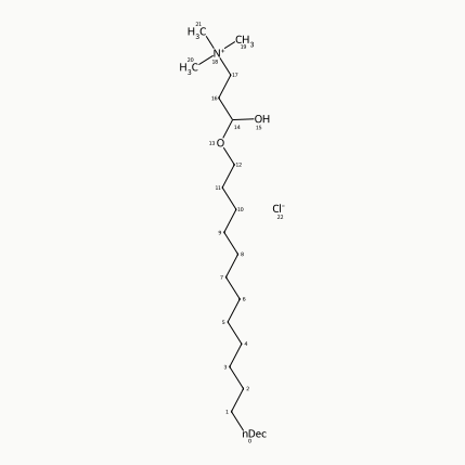 CCCCCCCCCCCCCCCCCCCCCCOC(O)CC[N+](C)(C)C.[Cl-]